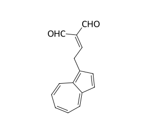 O=CC(C=O)=CCc1ccc2cccccc1-2